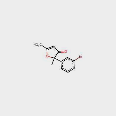 CC1(c2cccc(Br)c2)OC(C(=O)O)=CC1=O